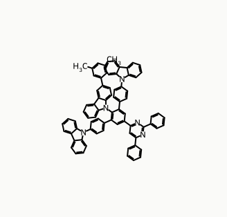 Cc1cc(C)cc(-c2ccc3c(c2)c2ccccc2n3-c2c(-c3ccc(-n4c5ccccc5c5ccccc54)cc3)cc(-c3cc(-c4ccccc4)nc(-c4ccccc4)n3)cc2-c2ccc(-n3c4ccccc4c4ccccc43)cc2)c1